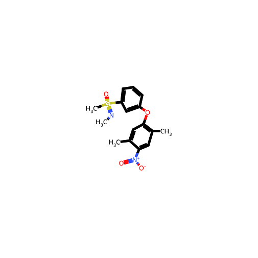 CN=S(C)(=O)c1cccc(Oc2cc(C)c([N+](=O)[O-])cc2C)c1